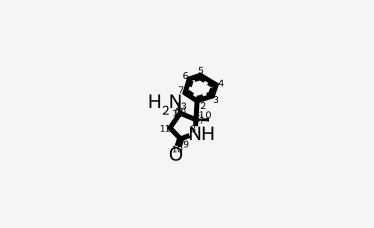 C[C@@]1(c2ccccc2)NC(=O)C[C@H]1N